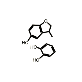 CC1COc2ccc(O)cc21.Oc1ccccc1O